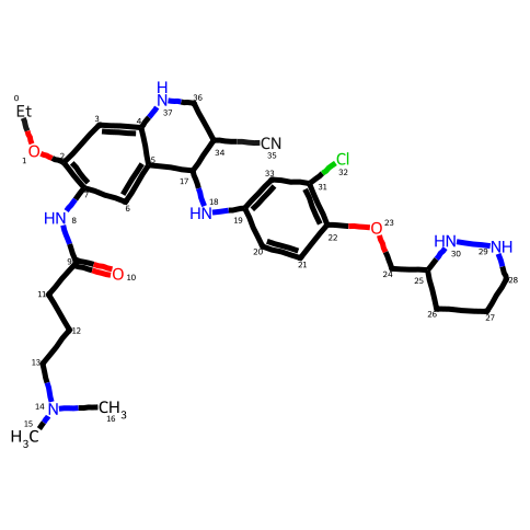 CCOc1cc2c(cc1NC(=O)CCCN(C)C)C(Nc1ccc(OCC3CCCNN3)c(Cl)c1)C(C#N)CN2